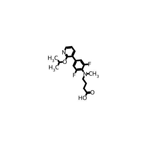 CC(C)Oc1ncccc1-c1cc(F)c(N(C)CCCC(=O)O)c(F)c1